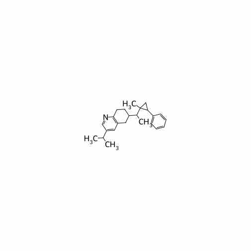 CC(C)c1cnc2c(c1)CC(C(C)C1(C)CC1c1ccccc1)CC2